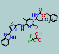 Cc1cn(C(CC(=O)O)NC(=O)OCc2ccccc2)c(=O)nc1NCc1nc(-c2nc3ccccc3[nH]2)cs1.O=C(O)C(F)(F)F